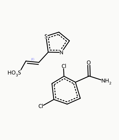 NC(=O)c1ccc(Cl)cc1Cl.O=S(=O)(O)/C=C/c1nccs1